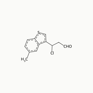 Cc1ccc2scc(C(Cl)CC=O)c2c1